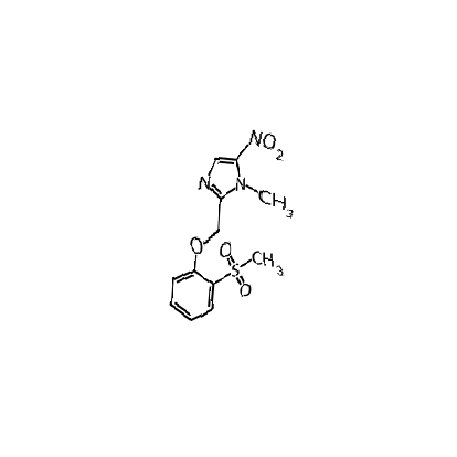 Cn1c([N+](=O)[O-])cnc1COc1ccccc1S(C)(=O)=O